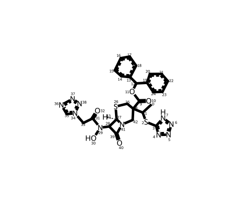 CC(Sc1nnn[nH]1)C1(C(=O)OC(c2ccccc2)c2ccccc2)CS[C@@H]2C(N(O)C(=O)Cn3cnnn3)C(=O)N2C1